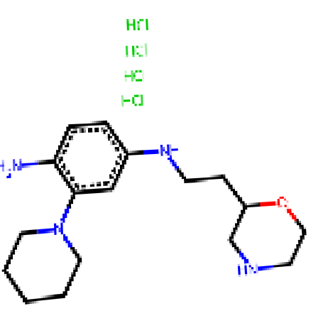 Cl.Cl.Cl.Cl.Nc1ccc(NCCC2CNCCO2)cc1N1CCCCC1